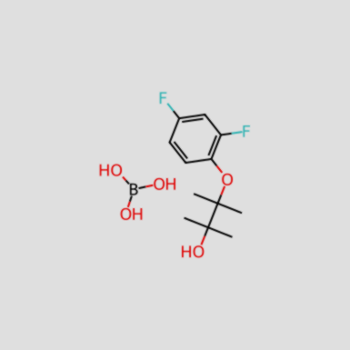 CC(C)(O)C(C)(C)Oc1ccc(F)cc1F.OB(O)O